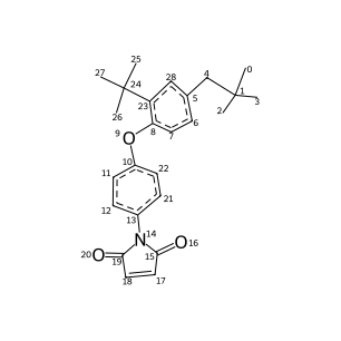 CC(C)(C)Cc1ccc(Oc2ccc(N3C(=O)C=CC3=O)cc2)c(C(C)(C)C)c1